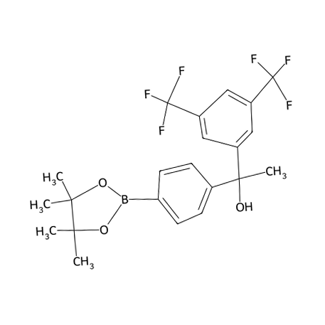 CC(O)(c1ccc(B2OC(C)(C)C(C)(C)O2)cc1)c1cc(C(F)(F)F)cc(C(F)(F)F)c1